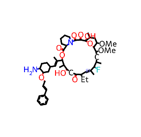 CCC1/C=C(\C)C(F)C(C)CC(OC)C2OC(O)(C(=O)C(=O)N3CCCCC3C(=O)OC(C(C)=CC3CCC(N)C(OCC=Cc4ccccc4)C3)C(C)C(O)CC1=O)C(C)CC2OC